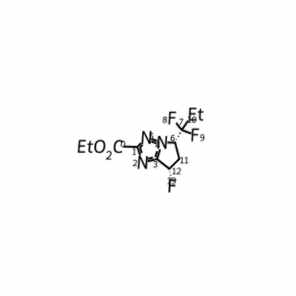 CCOC(=O)c1nc2n(n1)[C@H](C(F)(F)CC)C[C@@H]2F